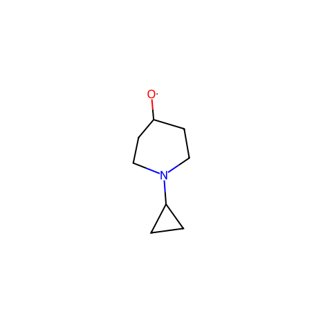 [O]C1CCN(C2CC2)CC1